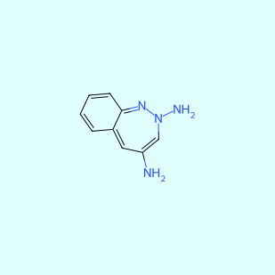 NC1=CN(N)N=c2ccccc2=C1